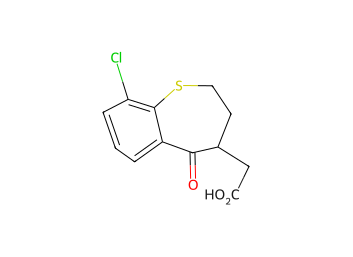 O=C(O)CC1CCSc2c(Cl)cccc2C1=O